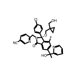 CC(O)(c1cc(F)c2c(c1)C(=O)N(Cc1ccc(C#N)cn1)[C@@]2(OCC1(CO)CC1)c1ccc(Cl)cc1)c1ccccn1